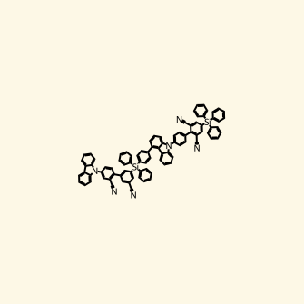 N#Cc1cc(-c2ccc(-n3c4ccccc4c4ccccc43)cc2C#N)cc([Si](c2ccccc2)(c2ccccc2)c2ccc(-c3cccc4c3c3ccccc3n4-c3ccc(-c4c(C#N)cc([Si](c5ccccc5)(c5ccccc5)c5ccccc5)cc4C#N)cc3)cc2)c1